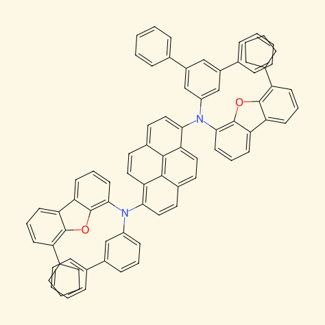 c1ccc(-c2cccc(N(c3ccc4ccc5c(N(c6cc(-c7ccccc7)cc(-c7ccccc7)c6)c6cccc7c6oc6c(C8CCCC8)cccc67)ccc6ccc3c4c65)c3cccc4c3oc3c(C5CCCC5)cccc34)c2)cc1